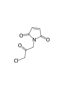 O=C(CCl)CN1C(=O)C=CC1=O